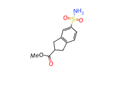 COC(=O)C1Cc2ccc(S(N)(=O)=O)cc2C1